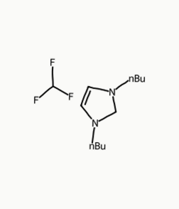 CCCCN1C=CN(CCCC)C1.FC(F)F